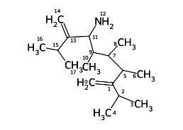 C=C(C(C)C)C(C)C(C)C(C)C(N)C(=C)C(C)C